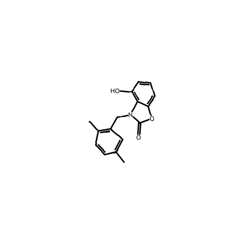 Cc1ccc(C)c(Cn2c(=O)oc3cccc(O)c32)c1